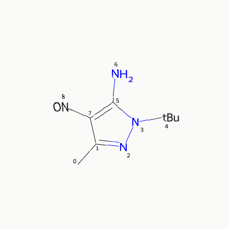 Cc1nn(C(C)(C)C)c(N)c1N=O